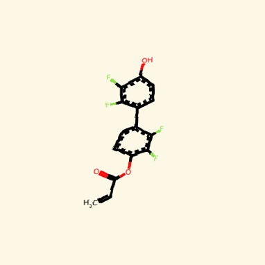 C=CC(=O)Oc1ccc(-c2ccc(O)c(F)c2F)c(F)c1F